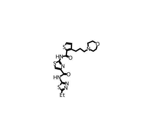 CCc1nnc(NC(=O)c2csc(NC(=O)c3sccc3CCCN3CCOCC3)n2)s1